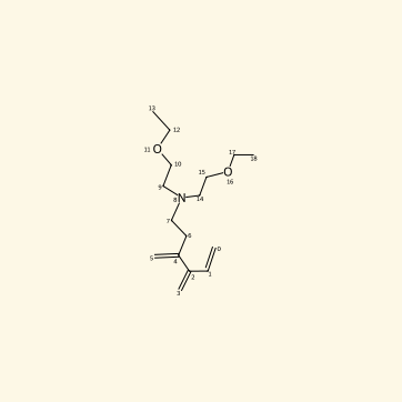 C=CC(=C)C(=C)CCN(CCOCC)CCOCC